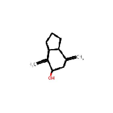 C=C1CC(O)C(=C)C2CCCC12